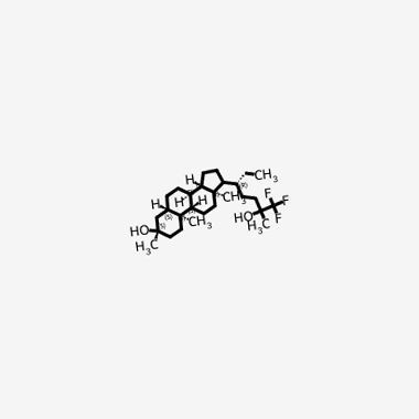 CC[C@H](CCC(C)(O)C(F)(F)F)C1CC[C@H]2[C@@H]3CC[C@H]4C[C@@](C)(O)CC[C@]4(C)[C@H]3CC[C@]12C